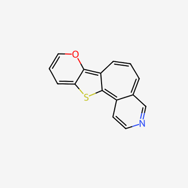 C1=COc2c3c(sc2=C1)=c1ccncc1=CC=C3